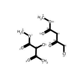 COC(=O)C(Cl)C(C)=O.COC(=O)CC(=O)CCl